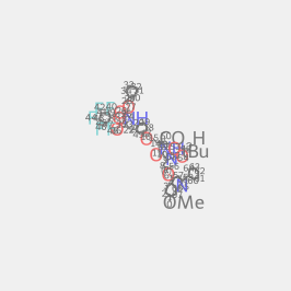 COc1ccc2c(O[C@@H]3CC(C(=O)N[C@@H](CCOc4cccc(CC(NC(=O)OCc5ccccc5)C(=O)Oc5c(F)c(F)c(F)c(F)c5F)c4)C(=O)O)N(C(=O)OC(C)(C)C)C3)cc(-c3ccccc3)nc2c1